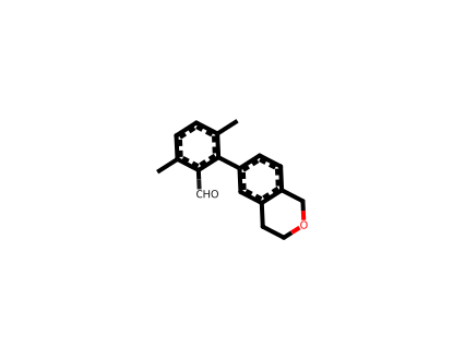 Cc1ccc(C)c(-c2ccc3c(c2)CCOC3)c1C=O